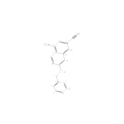 N#Cc1cc(O)c2ccc(OCc3ccccc3)cc2c1